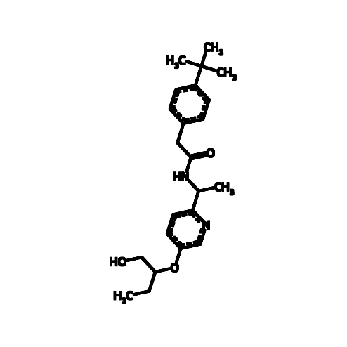 CCC(CO)Oc1ccc(C(C)NC(=O)Cc2ccc(C(C)(C)C)cc2)nc1